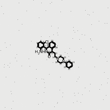 Nc1cccc(Cl)c1C1NC(=O)C(CCN2CCN(c3ccccc3)CC2)c2ccccc21